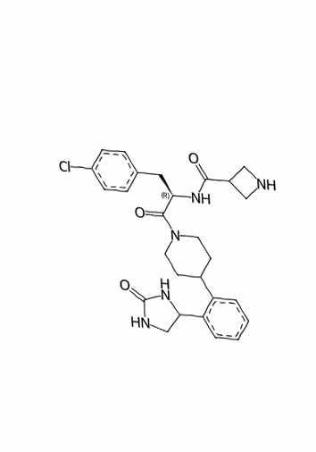 O=C1NCC(c2ccccc2C2CCN(C(=O)[C@@H](Cc3ccc(Cl)cc3)NC(=O)C3CNC3)CC2)N1